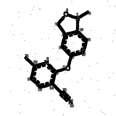 CB1OCc2cc(Oc3nc(C)ccc3C#N)ccc21